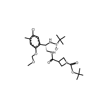 COCOc1cc(C)c(Cl)cc1[C@@H](CNC(=O)C1CN(C(=O)OC(C)(C)C)C1)N[S@@+]([O-])C(C)(C)C